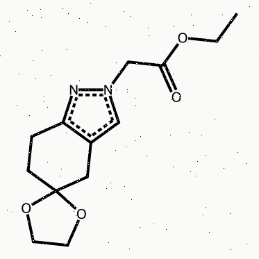 CCOC(=O)Cn1cc2c(n1)CCC1(C2)OCCO1